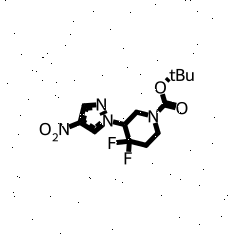 CC(C)(C)OC(=O)N1CCC(F)(F)C(n2cc([N+](=O)[O-])cn2)C1